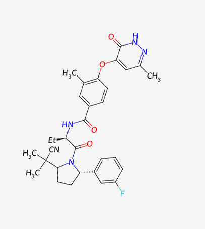 CC[C@@H](NC(=O)c1ccc(Oc2cc(C)n[nH]c2=O)c(C)c1)C(=O)N1C(C(C)(C)C#N)CC[C@H]1c1cccc(F)c1